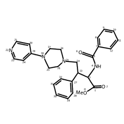 COC(=O)C(NC(=O)c1ccccc1)C(CN1CCN(c2ccncc2)CC1)c1ccccc1